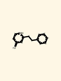 O=c1cc[nH]c(CCc2ccccc2)c1